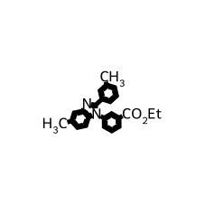 CCOC(=O)c1cccc(-n2c(-c3cccc(C)c3)nc3cc(C)ccc32)c1